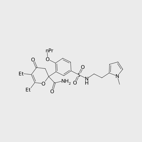 CCCOc1ccc(S(=O)(=O)NCCc2cccn2C)cc1C1(C(N)=O)CC(=O)C(CC)=C(CC)O1